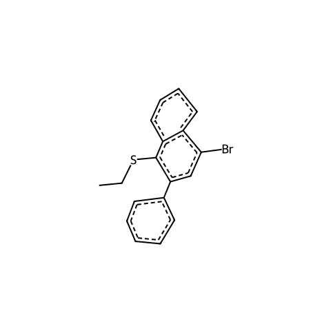 CCSc1c(-c2ccccc2)cc(Br)c2ccccc12